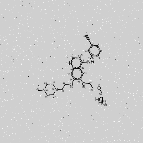 C#Cc1cccc(Nc2ncnc3cc(OCCN4CCN(C)CC4)c(OCCOC)cc23)c1.Cl.Cl